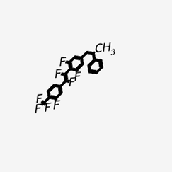 C[C@H](Cc1cc(F)c(/C(F)=C(\F)c2ccc(C(F)(F)F)c(F)c2)c(F)c1)c1ccccc1